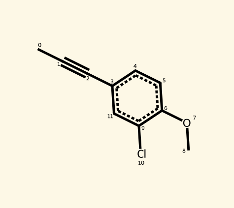 CC#Cc1ccc(OC)c(Cl)c1